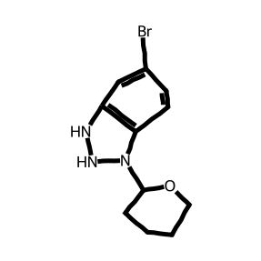 Brc1ccc2c(c1)NNN2C1CCCCO1